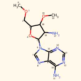 COCC1OC(n2cnc3c(N)ncnc32)C(N)C1OC